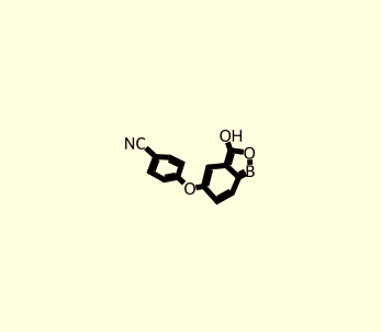 N#Cc1ccc(Oc2ccc3boc(O)c3c2)cc1